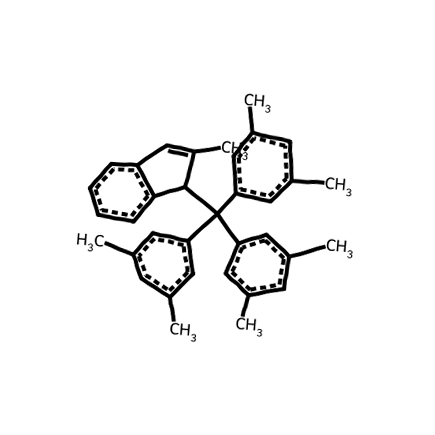 CC1=Cc2ccccc2C1C(c1cc(C)cc(C)c1)(c1cc(C)cc(C)c1)c1cc(C)cc(C)c1